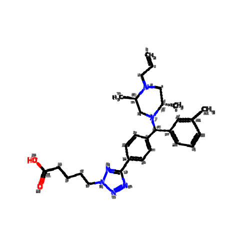 C=CCN1C[C@H](C)N([C@H](c2ccc(-c3nnn(CCCCC(=O)O)n3)cc2)c2cccc(C)c2)C[C@H]1C